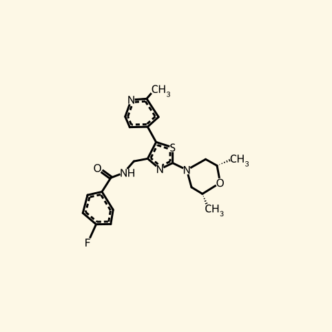 Cc1cc(-c2sc(N3C[C@@H](C)O[C@@H](C)C3)nc2CNC(=O)c2ccc(F)cc2)ccn1